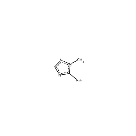 Cn1ncnc1[NH]